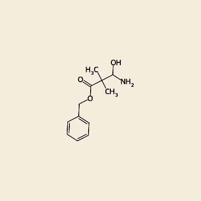 CC(C)(C(=O)OCc1ccccc1)C(N)O